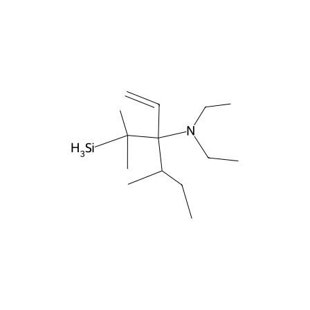 C=CC(C(C)CC)(N(CC)CC)C(C)(C)[SiH3]